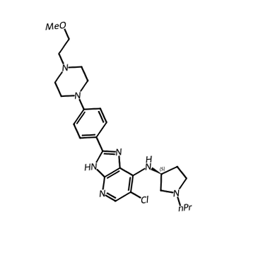 CCCN1CC[C@H](Nc2c(Cl)cnc3[nH]c(-c4ccc(N5CCN(CCOC)CC5)cc4)nc23)C1